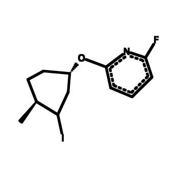 C[C@H]1CC[C@H](Oc2cccc(F)n2)CC1I